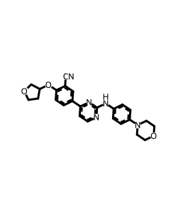 N#Cc1cc(-c2ccnc(Nc3ccc(N4CCOCC4)cc3)n2)ccc1OC1CCOC1